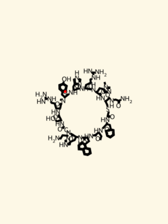 CCC1NC(=O)C(Cc2ccccc2)NC(=O)CSCC(C(=O)NCC(N)=O)NC(=O)C(Cc2cncn2C)NC(=O)C(CCCNC(=N)N)NC(=O)C(Cc2c[nH]cn2)NC(=O)C(Cc2ccc(O)cc2)N(C)C(=O)C(CCCNC(=N)N)NC(=O)C(CO)NC(=O)CN(CCCN)C(=O)C(Cc2c[nH]cn2)NC(=O)C(Cc2cccc3ccccc23)NC1=O